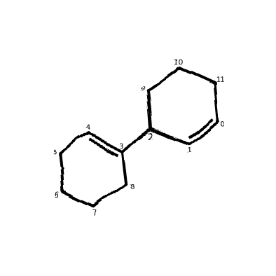 C1=CC(C2=CCCCC2)CCC1